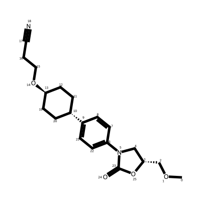 COC[C@H]1CN(c2ccc([C@H]3CC[C@H](OCCC#N)CC3)cc2)C(=O)O1